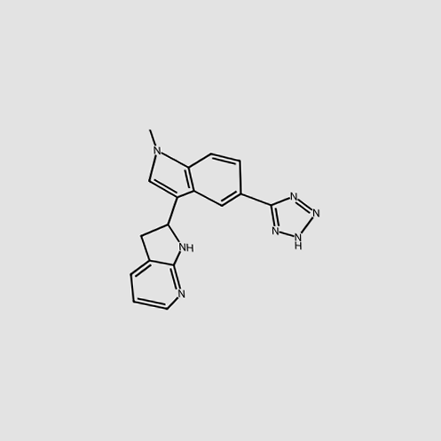 Cn1cc(C2Cc3cccnc3N2)c2cc(-c3nn[nH]n3)ccc21